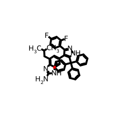 CC(C)Cc1cc(-c2c(-c3ccc(F)cc3F)n[nH]c2C(c2ccccc2)(c2ccccc2)c2ccccc2)cc2[nH]c(N)nc12